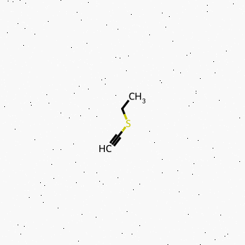 C#CSCC